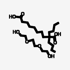 CCCCC(CCCC)(CCCCCCCC(=O)O)C(=O)O.OCCOCCOCCO